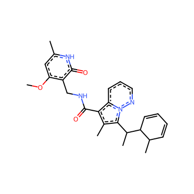 COc1cc(C)[nH]c(=O)c1CNC(=O)c1c(C)c(C(C)C2C=CC=CC2C)n2ncccc12